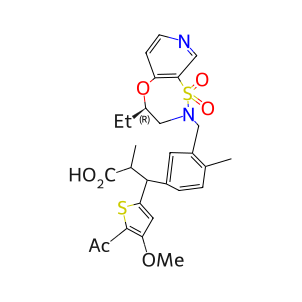 CC[C@@H]1CN(Cc2cc(C(c3cc(OC)c(C(C)=O)s3)C(C)C(=O)O)ccc2C)S(=O)(=O)c2cnccc2O1